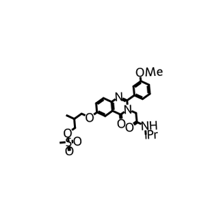 COc1cccc(-c2nc3ccc(OCC(C)COS(C)(=O)=O)cc3c(=O)n2CC(=O)NC(C)C)c1